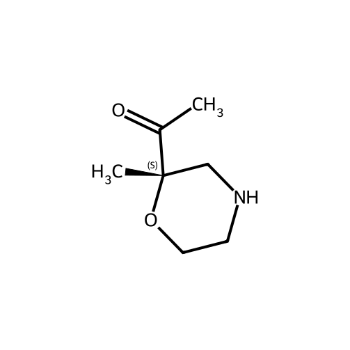 CC(=O)[C@]1(C)CNCCO1